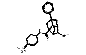 CCCC1C2CC3(c4ccccc4)CC1C(C(=S)NC1CCC(N)CC1)(C2)C3